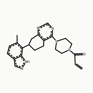 C=CC(=O)N1CCN(c2ncnc3c2CCC(c2c(C)ccc4cn[nH]c24)C3)CC1